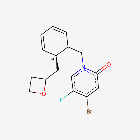 O=c1cc(Br)c(F)cn1CC1C=CC=C[C@@H]1CC1CCO1